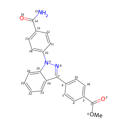 COC(=O)c1ccc(-c2nn(-c3ccc(C(N)=O)cc3)c3ccccc23)cc1